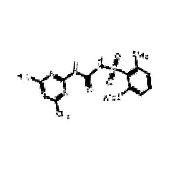 CSc1cccc(SC)c1S(=O)(=O)NC(=O)Nc1nc(C)nc(C)n1